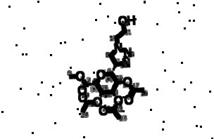 COC(=O)[C@H]1O[C@H](C2CN(CCO)N=N2)[C@@H](OC(C)=O)[C@H](OC(C)=O)[C@@H]1OC(C)=O